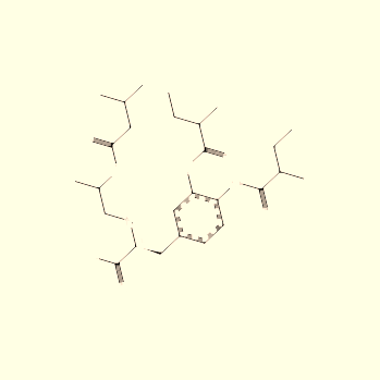 CCC(C)C(=O)Oc1ccc(C[C@H](NCC(C)OC(=O)CC(C)C)C(=O)O)cc1OC(=O)C(C)CC